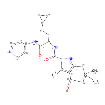 Cc1c(C(=O)NC(CCC2CC2)C(=O)Nc2ccncc2)[nH]c2c1C(=O)CC(C)(C)C2